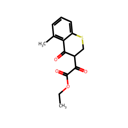 CCOC(=O)C(=O)C1CSc2cccc(C)c2C1=O